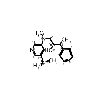 C[C](c1ccccc1)[C@@H](O)CN(C)c1cncc(N(C)C)c1